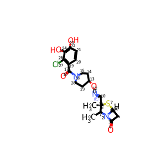 CC1N2C(=O)C[C@H]2S[C@@]1(C)/C=N/OC1CCN(C(=O)c2ccc(O)c(O)c2Cl)CC1